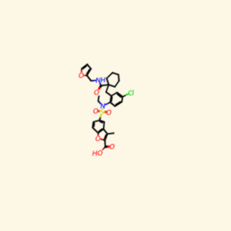 CCN(c1ccc(Cl)cc1CC1(C(=O)NCc2ccco2)CCCCC1)S(=O)(=O)c1ccc2oc(C(=O)O)c(C)c2c1